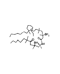 BC(C)(CC(=O)NC(C)(C)CC(B)(C)CC(=O)C(C)(C)CCCCCC)CC(C)(C)CCOC(C)(CCCCCCC)CCCCCCC